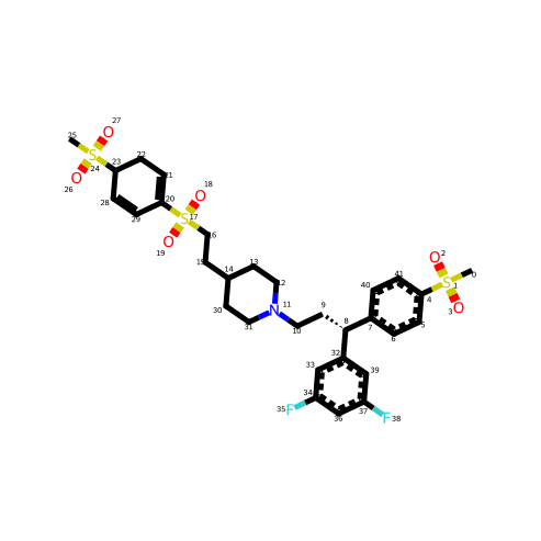 CS(=O)(=O)c1ccc([C@@H](CCN2CCC(CCS(=O)(=O)C3=CCC(S(C)(=O)=O)C=C3)CC2)c2cc(F)cc(F)c2)cc1